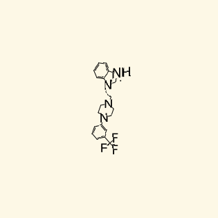 FC(F)(F)c1cccc(N2CCN(CCN3[CH]Nc4ccccc43)CC2)c1